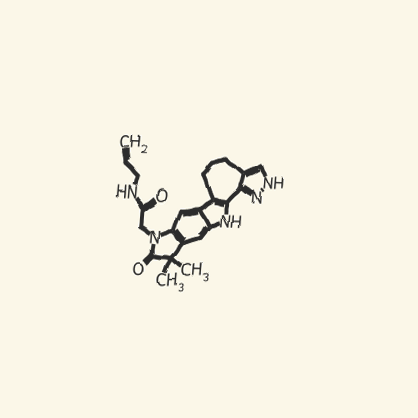 C=CCNC(=O)CN1C(=O)C(C)(C)c2cc3[nH]c4c(c3cc21)CCCc1c[nH]nc1-4